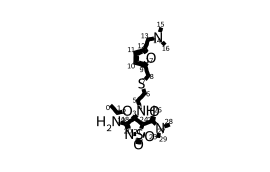 CCOC1(NCCSCc2ccc(CN(C)C)o2)C(N)=NS(=O)(=O)C1C(=O)N(C)C